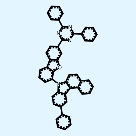 c1ccc(-c2ccc3c(c2)c2c4ccccc4ccc2n3-c2cccc3c2oc2cc(-c4nc(-c5ccccc5)nc(-c5ccccc5)n4)ccc23)cc1